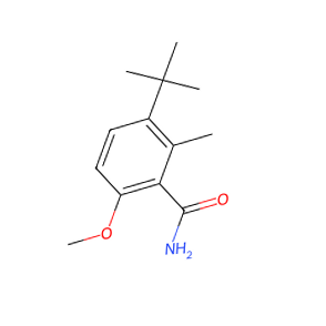 COc1ccc(C(C)(C)C)c(C)c1C(N)=O